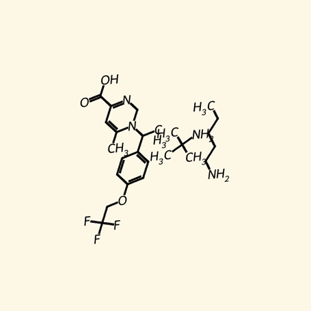 CC(C)(C)N.CC1=CC(C(=O)O)=NCN1C(C)c1ccc(OCC(F)(F)F)cc1.CCCCCN